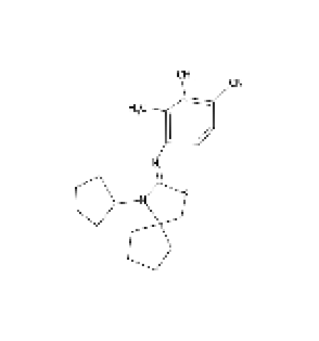 Cc1c(C#N)ccc(N=C2SCC3(CCCC3)N2C2CCCC2)c1C